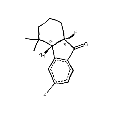 [2H][C@]12c3cc(F)ccc3C(=O)[C@H]1CCCC2(C)C